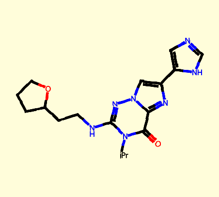 CC(C)n1c(NCCC2CCCO2)nn2cc(-c3cnc[nH]3)nc2c1=O